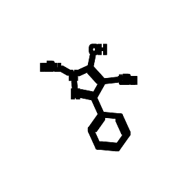 CCCCn1nc(-c2ccccc2)c(C(C)(C)C)c1O